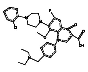 CCN(CC)Cc1ccc(-n2cc(C(=O)O)c(=O)c3cc(F)c(N4CCN(c5ccccc5Cl)CC4)c(OC)c32)cc1